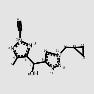 C#Cn1nc(C)c(C(O)c2cn(CC3CC3)nn2)n1